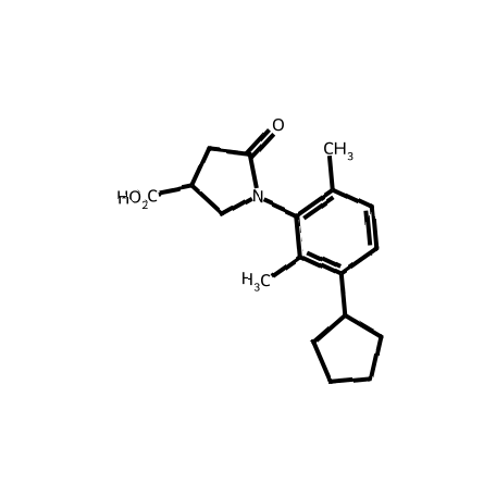 Cc1ccc(C2CCCC2)c(C)c1N1CC(C(=O)O)CC1=O